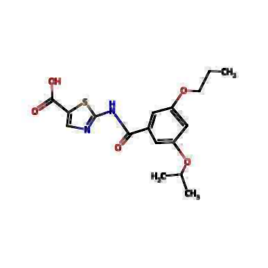 CCCOc1cc(OC(C)C)cc(C(=O)Nc2ncc(C(=O)O)s2)c1